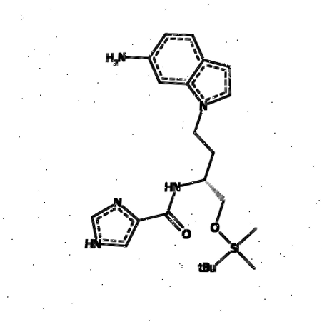 CC(C)(C)[Si](C)(C)OC[C@@H](CCn1ccc2ccc(N)cc21)NC(=O)c1c[nH]cn1